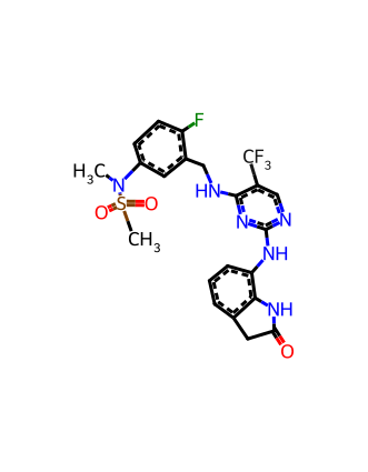 CN(c1ccc(F)c(CNc2nc(Nc3cccc4c3NC(=O)C4)ncc2C(F)(F)F)c1)S(C)(=O)=O